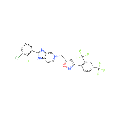 Fc1c(Cl)cccc1-c1nc2ccn(Cc3cc(-c4ccc(C(F)(F)F)cc4C(F)(F)F)no3)cc-2n1